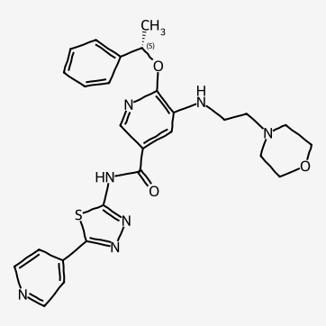 C[C@H](Oc1ncc(C(=O)Nc2nnc(-c3ccncc3)s2)cc1NCCN1CCOCC1)c1ccccc1